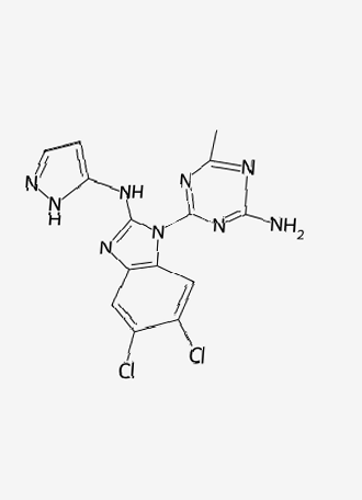 Cc1nc(N)nc(-n2c(Nc3ccn[nH]3)nc3cc(Cl)c(Cl)cc32)n1